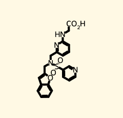 O=C(O)CNc1cccc(CN(Cc2cc3ccccc3o2)S(=O)(=O)c2cccnc2)n1